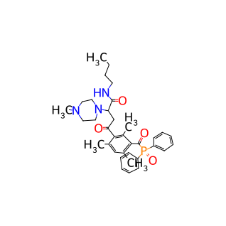 CCCCNC(=O)C(CC(=O)c1c(C)cc(C)c(C(=O)P(=O)(c2ccccc2)c2ccccc2)c1C)N1CCN(C)CC1